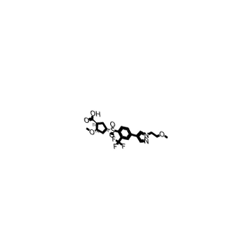 COCCn1cc(-c2ccc(S(=O)(=O)[C@@H]3C[C@H](OC)[C@@H](C(=O)O)C3)c(C(F)(F)F)c2)cn1